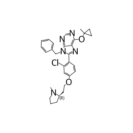 CN1CCC[C@@H]1CCOc1ccc(-c2nc3c(OC4(C)CC4)ncnc3n2Cc2ccccc2)c(Cl)c1